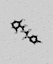 O=C(NC(=O)N(F)c1ccc(I)cc1)c1c(F)cccc1F